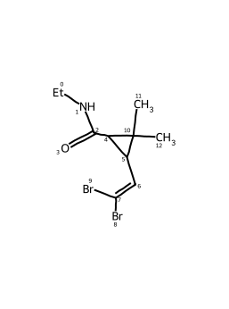 CCNC(=O)C1C(C=C(Br)Br)C1(C)C